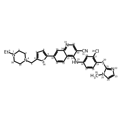 CCN1CCN(Cc2ccc(-c3ccc4c(Nc5ccc(Sc6nccn6C)c(Cl)c5)c(C#N)cnc4c3)s2)CC1